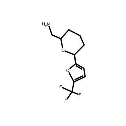 NCC1CCCC(c2ccc(C(F)(F)F)o2)O1